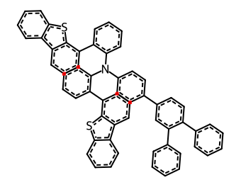 c1ccc(-c2ccc(-c3ccc(N(c4ccccc4-c4cccc5c4sc4ccccc45)c4ccccc4-c4cccc5c4sc4ccccc45)cc3)cc2-c2ccccc2)cc1